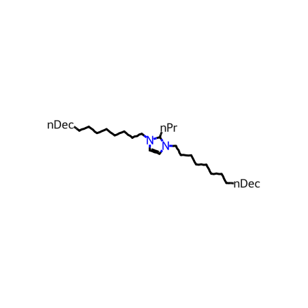 CCCCCCCCCCCCCCCCCCN1C=CN(CCCCCCCCCCCCCCCCCC)C1CCC